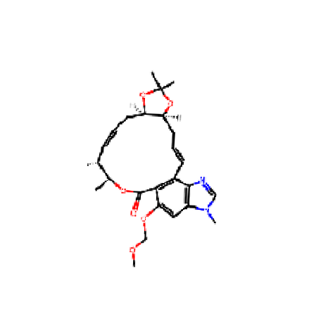 COCOc1cc2c(ncn2C)c2c1C(=O)O[C@@H](C)[C@H](C)/C=C\C[C@H]1OC(C)(C)O[C@H]1C/C=C/2